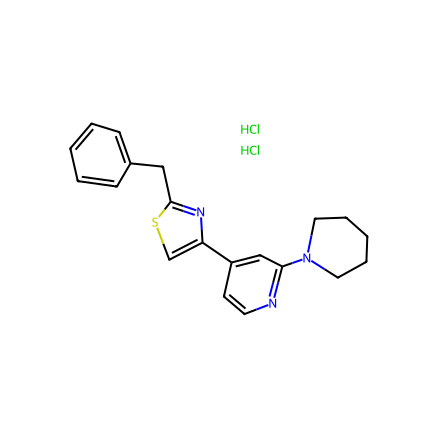 Cl.Cl.c1ccc(Cc2nc(-c3ccnc(N4CCCCC4)c3)cs2)cc1